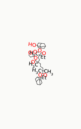 CCC(C)(CCC(C)(CCCC(C)(C)C(=O)OC1(CC)C2CC3CC(C2)CC1C3)C(=O)OC1CCOC1=O)C(=O)OC12CC3CC(CC(O)(C3)C1)C2